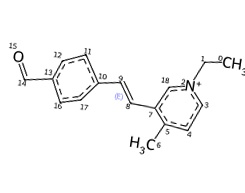 CC[n+]1ccc(C)c(/C=C/c2ccc(C=O)cc2)c1